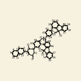 CC1C=C(c2ccc3ccccc3c2)C(C)C(c2ccc(CN(c3ccc(-c4cccc5c4C(C)(C)c4ccccc4-5)cc3)c3ccc4c(c3)C(C)(C)c3ccccc3-4)cc2)C1